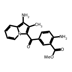 COC(=O)c1cc(C(=O)c2c(C)c(N)c3ccccn23)ccc1N